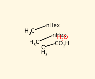 CC(=O)O.CCCCCCC.CCCCCCC.O